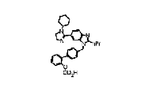 CCCc1nc2ccc(C3=NCCN3C3CCCCC3)cc2n1Cc1ccc(-c2ccccc2OC(=O)O)cc1